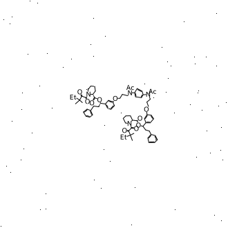 CCC(C)(C)C(=O)C(=O)N1CCCCC1C(=O)OC(CCc1ccccc1)c1cccc(OCCCN(C(C)=O)c2ccc(N(CCCOc3cccc([C@@H](CCc4ccccc4)OC(=O)[C@@H]4CCCCN4C(=O)C(=O)C(C)(C)CC)c3)C(C)=O)cc2)c1